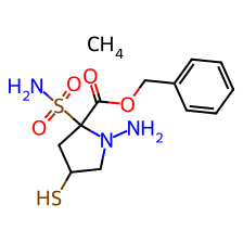 C.NN1CC(S)CC1(C(=O)OCc1ccccc1)S(N)(=O)=O